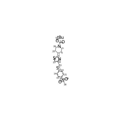 CC(C)(C)OC(=O)N1CCC(c2nc(CSc3ccc(S(C)(=O)=O)cc3)cs2)CC1